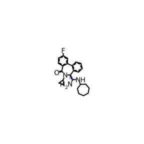 N/C(NC1CCCCCC1)=C1/c2ccccc2-c2cc(F)ccc2C(=O)N1C1CC1